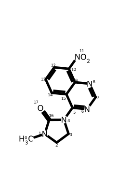 CN1CCN(c2ncnc3c([N+](=O)[O-])cccc23)C1=O